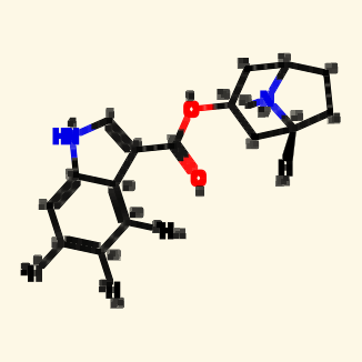 [2H]c1cc2[nH]cc(C(=O)OC3CC4CC[C@H](C3)N4C)c2c([2H])c1[2H]